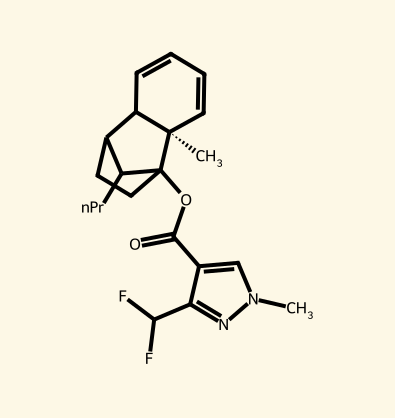 CCCC1C2CCC1(OC(=O)c1cn(C)nc1C(F)F)[C@]1(C)C=CC=CC21